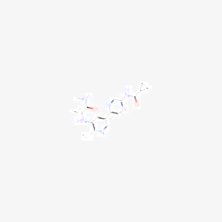 C[C@H](Nc1cc(-c2cnc(NC(=O)C3CC3)cn2)cnc1C#N)C(=O)N(C)C